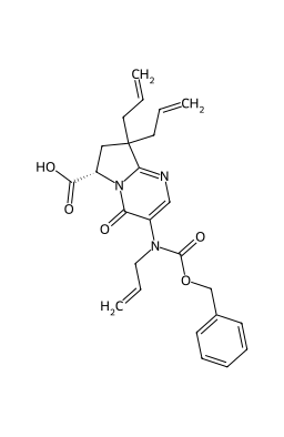 C=CCN(C(=O)OCc1ccccc1)c1cnc2n(c1=O)[C@H](C(=O)O)CC2(CC=C)CC=C